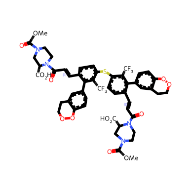 COC(=O)N1CCN(C(=O)/C=C/c2ccc(Sc3ccc(/C=C/C(=O)N4CCN(C(=O)OC)CC4C(=O)O)c(-c4ccc5c(c4)CCOO5)c3C(F)(F)F)c(C(F)(F)F)c2-c2ccc3c(c2)CCOO3)C(C(=O)O)C1